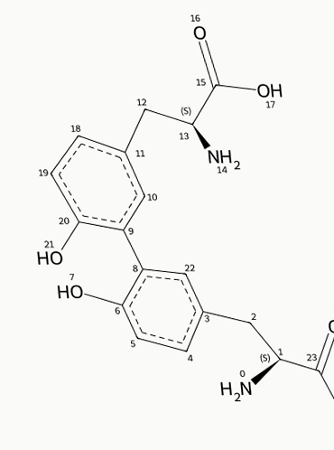 N[C@@H](Cc1ccc(O)c(-c2cc(C[C@H](N)C(=O)O)ccc2O)c1)C(=O)O